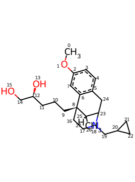 COc1ccc2c(c1)[C@@]1(CCC[C@H](O)CO)CCN(CC3CC3)C(C2)[C@@H]1C